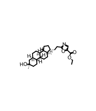 CCOC(=O)c1cnc(CC[C@H]2CC[C@H]3[C@@H]4CC[C@@H]5C[C@](C)(O)CC[C@@H]5[C@H]4CC[C@]23C)o1